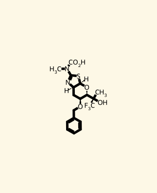 CN(C(=O)O)C1=N[C@@H]2C[C@H](OCc3ccccc3)[C@@H]([C@](C)(O)C(F)(F)F)O[C@@H]2S1